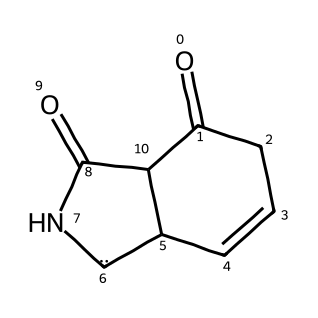 O=C1CC=CC2[C]NC(=O)C12